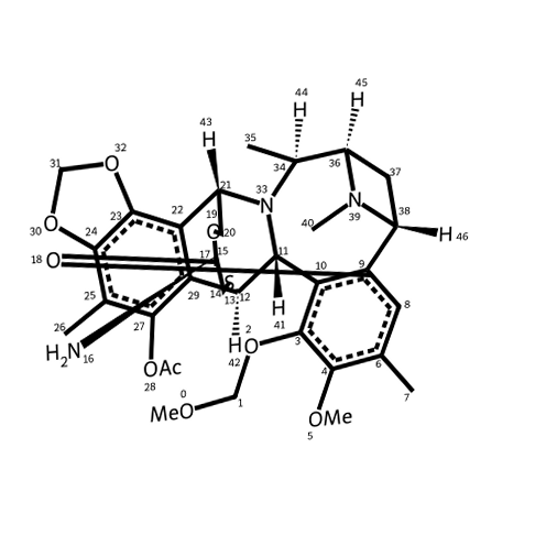 COCOc1c(OC)c(C)cc2c1[C@@H]1[C@@H]3SC[C@H](N)C(=O)OC[C@H](c4c5c(c(C)c(OC(C)=O)c43)OCO5)N1[C@@H](C)[C@H]1C[C@H]2N1C